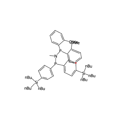 CCCC[Si](CCCC)(CCCC)c1ccc(P(c2ccc([Si](CCCC)(CCCC)CCCC)cc2)N(C)P(c2ccccc2OC)c2ccccc2OC)cc1